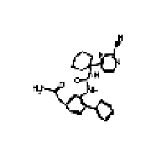 N#Cc1nccc(C2(NC(=O)Nc3cc(CC(N)=O)ccc3-c3ccccc3)CCCCC2)n1